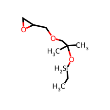 CC[SiH2]OC(C)(C)COCC1CO1